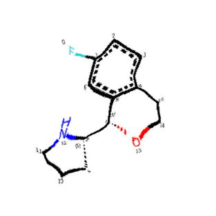 Fc1ccc2c(c1)[C@@H]([C@@H]1CCCN1)OCC2